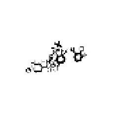 CC(C)(C)[Si](C)(C)Oc1c(N=C=Nc2cccc(F)c2Cl)ccc(Cl)c1S(=O)(=O)NC(=O)C1CC[NH+]([O-])CC1